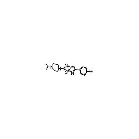 CC(C)N1CCN(c2nn3cc(-c4ccc(F)cc4)nc3s2)CC1